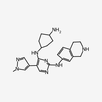 Cn1cc(-c2cnc(Nc3ccc4c(c3)CNCC4)nc2NC2CCC(N)CC2)cn1